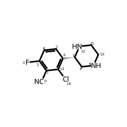 N#Cc1c(F)ccc([C@H]2CNCCN2)c1Cl